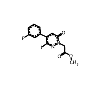 COC(=O)Cn1nc(I)c(-c2cccc(F)c2)cc1=O